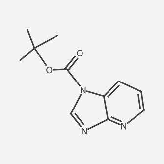 CC(C)(C)OC(=O)n1cnc2ncccc21